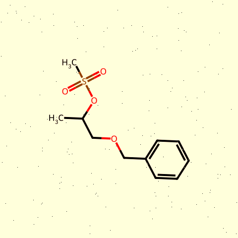 CC(COCc1ccccc1)OS(C)(=O)=O